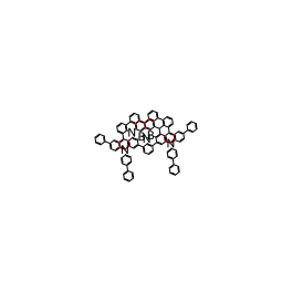 c1ccc(-c2ccc(N(c3ccc(-c4ccccc4)cc3)c3cc4c5c(c3)C(c3c(-c6ccccc6)cccc3-c3ccccc3)c3ccccc3B5N3B5c6ccccc6N(c6c(-c7ccccc7)cccc6-c6ccccc6)c6cc(N(c7ccc(-c8ccccc8)cc7)c7ccc(-c8ccccc8)cc7)cc(c65)-c5cccc-4c53)cc2)cc1